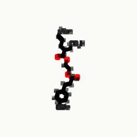 CCCCCCCCCC=CCC(CC(=O)O)C(=O)OCCOC(=O)C=Cc1ccc(OC)cc1